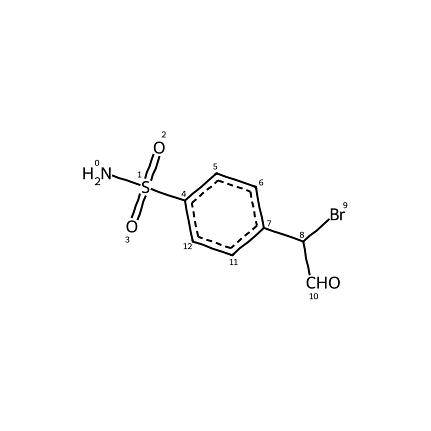 NS(=O)(=O)c1ccc(C(Br)C=O)cc1